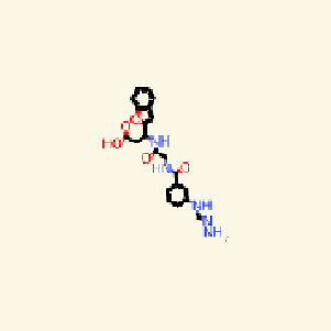 NN=CNc1cccc(C(=O)NCC(=O)NC(CC(=O)O)c2cc3ccccc3o2)c1